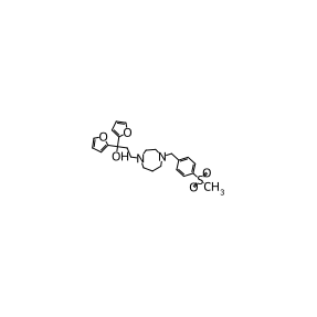 CS(=O)(=O)c1ccc(CN2CCCN(CCC(O)(c3ccco3)c3ccco3)CC2)cc1